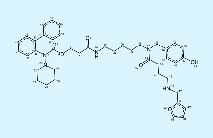 O=C(CCOC(=O)N(c1ccccc1-c1ccccc1)N1CC[CH]CC1)NCCCCCN(Cc1ccc(O)cc1)C(=O)CCCNCc1ccco1